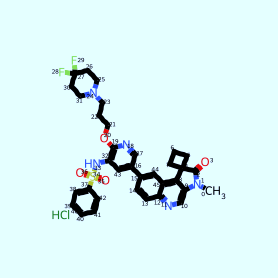 CN1C(=O)C2(CCC2)c2c1cnc1ccc(-c3cnc(OCCCN4CCC(F)(F)CC4)c(NS(=O)(=O)c4ccccc4)c3)cc21.Cl